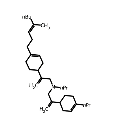 C=C(CN(CCC)CC(=C)C1CC=C(CC/C=C(\C)CCCC)CC1)C1CC=C(CCC)CC1